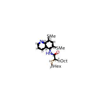 CCCCCCCCC(SCCCCCC)C(=O)Nc1c(SC)cc(SC)c2ncccc12